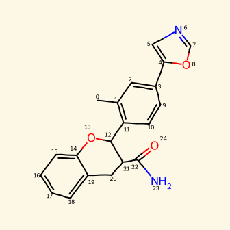 Cc1cc(-c2cnco2)ccc1C1Oc2ccccc2CC1C(N)=O